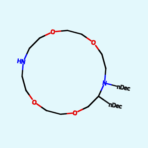 CCCCCCCCCCC1COCCOCCNCCOCCOCCN1CCCCCCCCCC